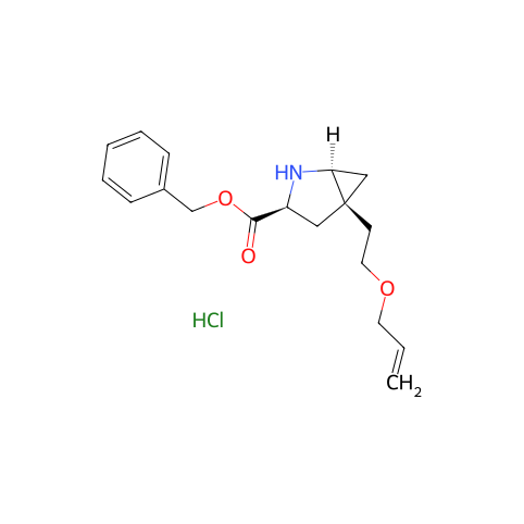 C=CCOCC[C@@]12C[C@@H](C(=O)OCc3ccccc3)N[C@H]1C2.Cl